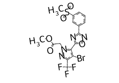 COC(=O)Cn1nc(C(F)(F)F)c(Br)c1-c1nc(-c2cccc(S(C)(=O)=O)c2)no1